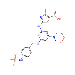 Cc1nc(Nc2nc(NCc3ccc(NS(C)(=O)=O)cc3)cc(N3CCOCC3)n2)sc1C(=O)O